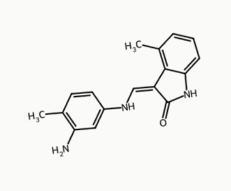 Cc1ccc(NC=C2C(=O)Nc3cccc(C)c32)cc1N